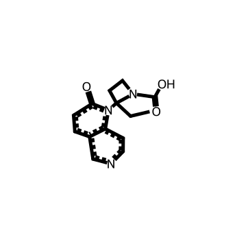 CCC1(n2c(=O)ccc3cnccc32)CCN1C(=O)O